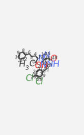 CC(O)C(CCCc1ccccc1)n1cnc2c(=O)[nH]c(Cc3ccc(Cl)c(Cl)c3)nc21